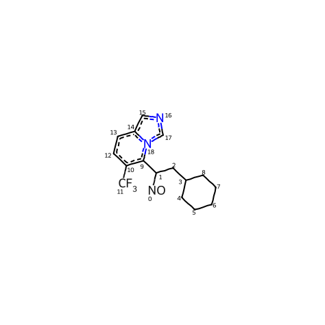 O=NC(CC1CCCCC1)c1c(C(F)(F)F)ccc2cncn12